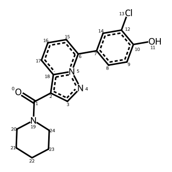 O=C(c1cnn2c(-c3ccc(O)c(Cl)c3)cccc12)N1CCCCC1